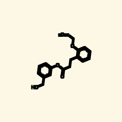 CCCCCCCCCCCOc1ccccc1CCC(=O)Oc1cccc(CO)c1